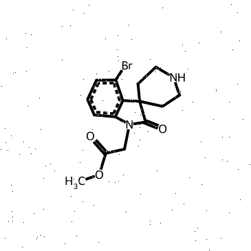 COC(=O)CN1C(=O)C2(CCNCC2)c2c(Br)cccc21